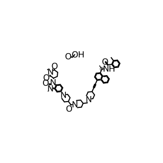 Cc1ccccc1C(=O)N[C@H](C)c1ccc(C#CC2CCN(CC3CCN(C(=O)C4CCN(c5ccc6c(c5)n(C)c(=O)n6C5CCC(=O)N(C)C5=O)CC4)CC3)CC2)c2ccccc12.O=CO